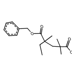 CCC(C)(CC(C)(C)C(=O)O)C(=O)OCc1ccccc1